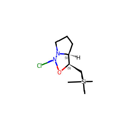 C[Si](C)(C)C[C@H]1ON(Cl)N2CCC[C@@H]12